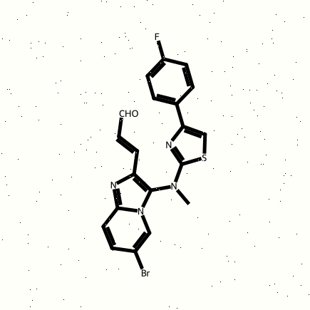 CN(c1nc(-c2ccc(F)cc2)cs1)c1c(/C=C/C=O)nc2ccc(Br)cn12